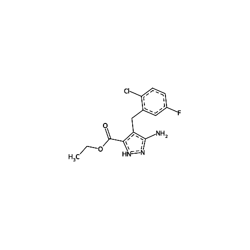 CCOC(=O)c1[nH]nc(N)c1Cc1cc(F)ccc1Cl